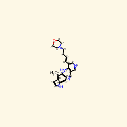 Cc1c(Nc2c(C#N)cncc2C=CCCN2CCOCC2)ccc2[nH]ccc12